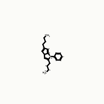 CCCCC1=CC2C=C(CCCC)N(c3ccccc3)C2=C1